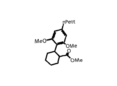 CCCCCc1cc(OC)c(C2CCCCC2C(=O)OC)c(OC)c1